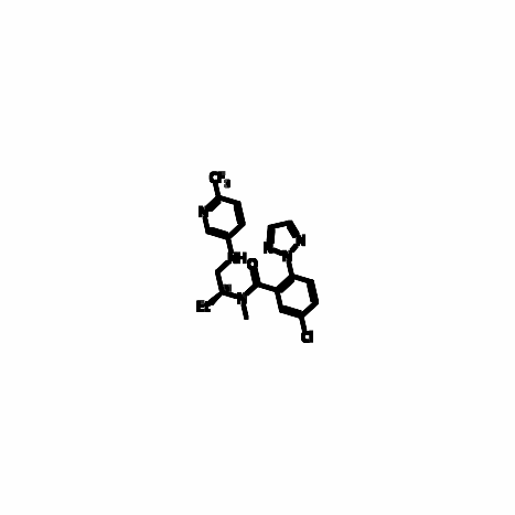 CC[C@@H](CNc1ccc(C(F)(F)F)nc1)N(C)C(=O)c1cc(Cl)ccc1-n1nccn1